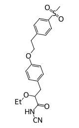 CCOC(Cc1ccc(OCCc2ccc(S(C)(=O)=O)cc2)cc1)C(=O)NC#N